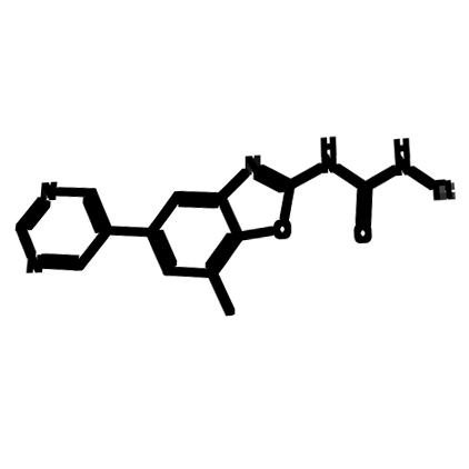 CCNC(=O)Nc1nc2cc(-c3cncnc3)cc(C)c2o1